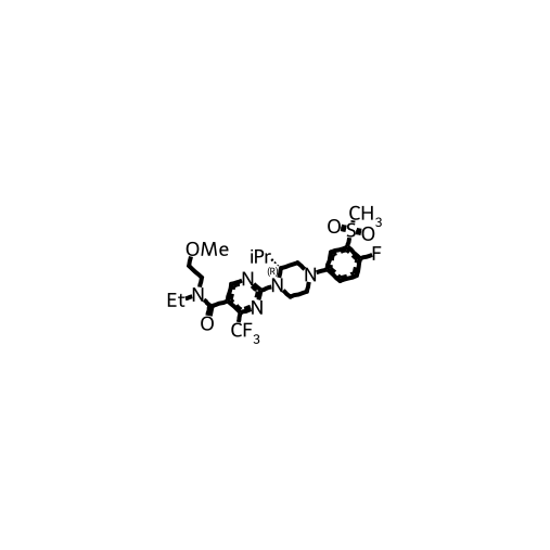 CCN(CCOC)C(=O)c1cnc(N2CCN(c3ccc(F)c(S(C)(=O)=O)c3)C[C@H]2C(C)C)nc1C(F)(F)F